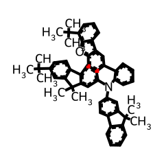 CC(C)(C)c1ccc2c(c1)C(C)(C)c1cc(N(c3ccc4c(c3)C(C)(C)c3ccccc3-4)c3ccccc3-c3ccc4oc5c(C(C)(C)C)cccc5c4c3)ccc1-2